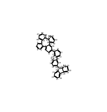 c1ccc2c(c1)-c1ccc(-c3cccc4c3oc3ccc(-n5c6ccccc6c6cccnc65)cc34)cc1-c1cccnc1-c1ncccc1-2